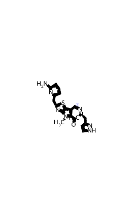 CN(Cc1cc[nH]n1)/N=C\c1c(C=O)n(C)c2nc(Cc3cccc(N)n3)sc12